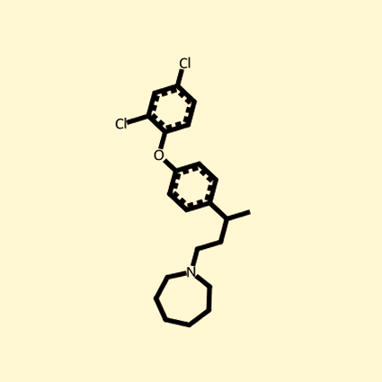 CC(CCN1CCCCCC1)c1ccc(Oc2ccc(Cl)cc2Cl)cc1